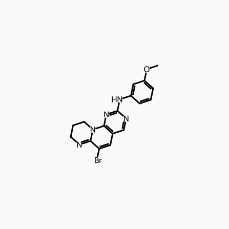 COc1cccc(Nc2ncc3c(n2)N2CCCN=C2C(Br)=C3)c1